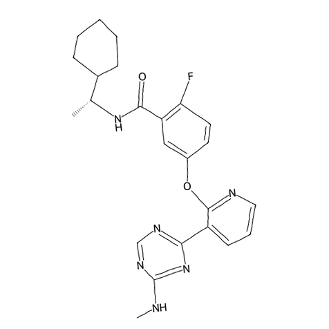 CNc1ncnc(-c2cccnc2Oc2ccc(F)c(C(=O)N[C@H](C)C3CCCCC3)c2)n1